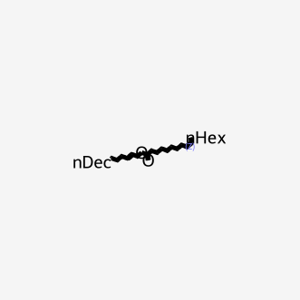 CCCCCC/C=C\CCCCCCCC(=O)OCC=CCCCCCCCCCCCCC